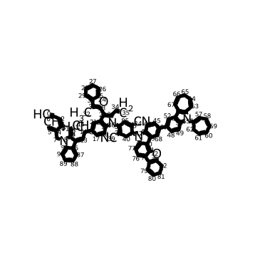 C#C/C=C\C(=C/C)Cn1c(=C/C)/c(=C\C(=C)c2ccc3c(c2)c(-c2oc4ccccc4c2C)c(C=C)n3C2=C(C#N)CC(n3c4ccc(-c5ccc6c(c5)c5c(n6C6=CC=CC=CC6)C=CCC=C5)cc4c4c5oc6c(c5ccc43)C=CCC6)C(C#N)=C2)c2ccccc21